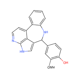 COc1cc(C2Nc3ccccc3-c3ccnc4[nH]cc2c34)ccc1O